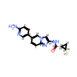 Nc1ccc(-c2ccc3nc(NC(=O)[C@@H]4C[C@@H]4F)cn3c2)cn1